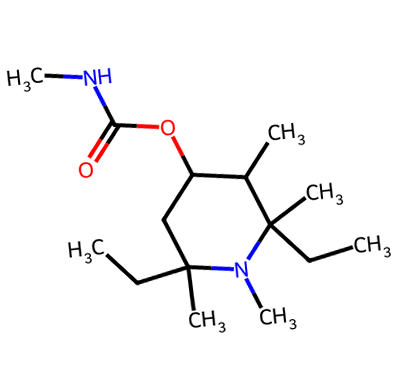 CCC1(C)CC(OC(=O)NC)C(C)C(C)(CC)N1C